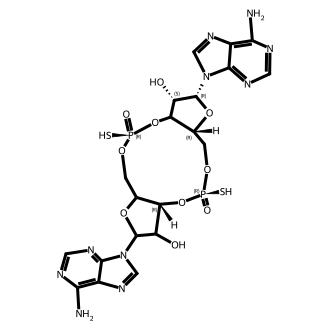 Nc1ncnc2c1ncn2C1OC2CO[P@@](=O)(S)OC3[C@@H](CO[P@@](=O)(S)O[C@@H]2C1O)O[C@@H](n1cnc2c(N)ncnc21)[C@H]3O